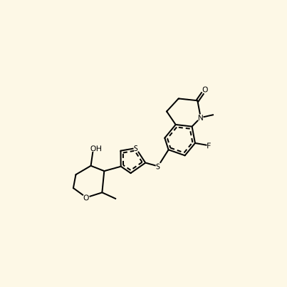 CC1OCCC(O)C1c1csc(Sc2cc(F)c3c(c2)CCC(=O)N3C)c1